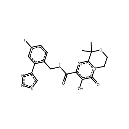 CC1(C)OCCn2c1nc(C(=O)NCc1ccc(F)cc1-c1csnn1)c(O)c2=O